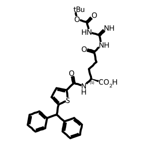 CC(C)(C)OC(=O)NC(=N)NC(=O)CC[C@H](NC(=O)c1ccc(C(c2ccccc2)c2ccccc2)s1)C(=O)O